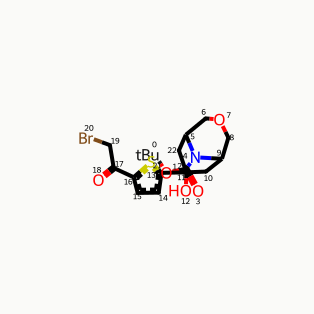 CC(C)(C)OC(=O)N1C2COCC1CC(O)(c1ccc(C(=O)CBr)s1)C2